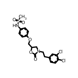 CS(=O)(=O)Nc1ccc(OCC2CN(CCc3ccc(Cl)c(Cl)c3)C(=O)O2)cc1